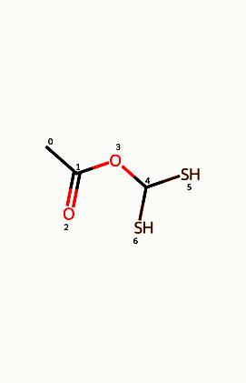 CC(=O)OC(S)S